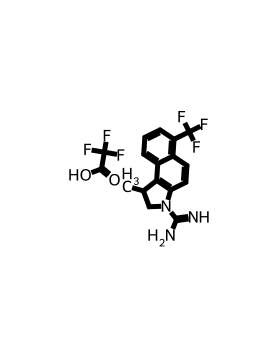 CC1CN(C(=N)N)c2ccc3c(C(F)(F)F)cccc3c21.O=C(O)C(F)(F)F